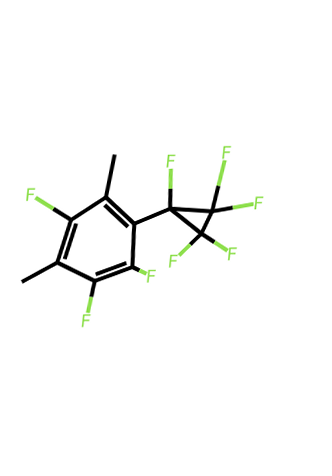 Cc1c(F)c(C)c(C2(F)C(F)(F)C2(F)F)c(F)c1F